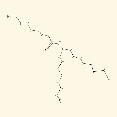 O=C(CCCCCCCBr)OC(CCCCCCCF)CCCCCCCF